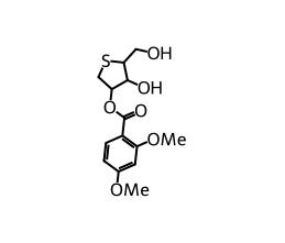 COc1ccc(C(=O)OC2CSC(CO)C2O)c(OC)c1